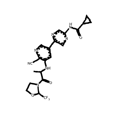 CC(Nc1cc(-c2cnc(NC(=O)C3CC3)cn2)cnc1C#N)C(=O)N1CCOC1C(F)(F)F